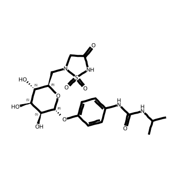 CC(C)NC(=O)Nc1ccc(O[C@H]2O[C@H](CN3CC(=O)NS3(=O)=O)[C@@H](O)[C@H](O)[C@@H]2O)cc1